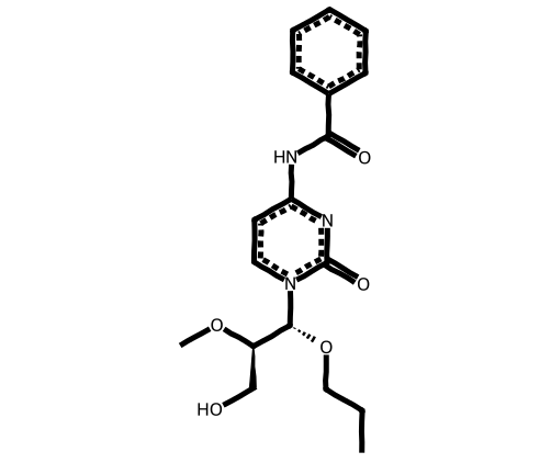 CCCO[C@H]([C@@H](CO)OC)n1ccc(NC(=O)c2ccccc2)nc1=O